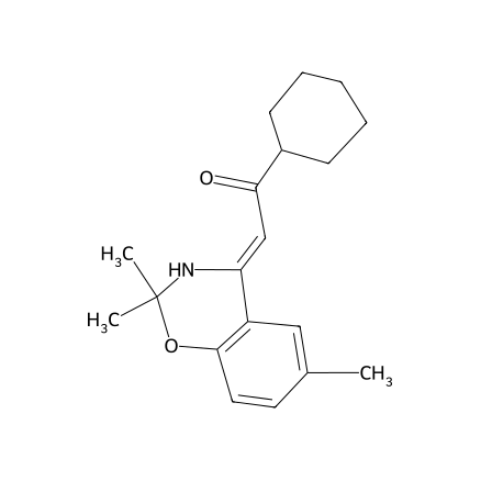 Cc1ccc2c(c1)/C(=C/C(=O)C1CCCCC1)NC(C)(C)O2